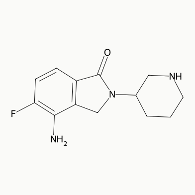 Nc1c(F)ccc2c1CN(C1CCCNC1)C2=O